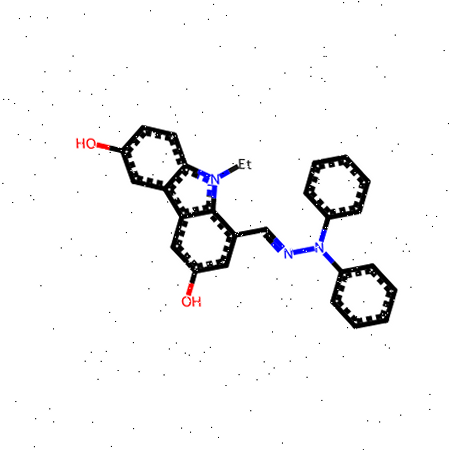 CCn1c2ccc(O)cc2c2cc(O)cc(/C=N/N(c3ccccc3)c3ccccc3)c21